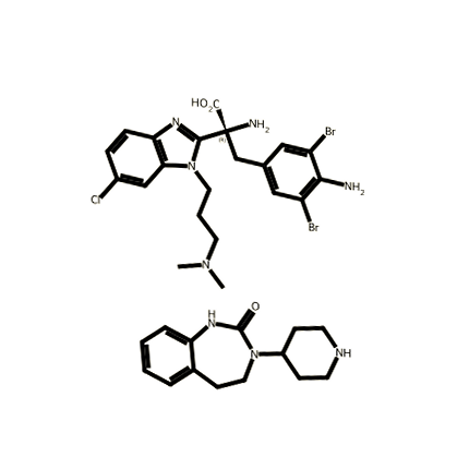 CN(C)CCCn1c([C@](N)(Cc2cc(Br)c(N)c(Br)c2)C(=O)O)nc2ccc(Cl)cc21.O=C1Nc2ccccc2CCN1C1CCNCC1